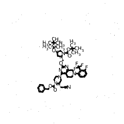 CC(C)(C)OC(=O)N1C[C@@H](O[Si](C)(C)C(C)(C)C)C[C@H]1COc1nc2c(c(N3CCN(C(=O)OCc4ccccc4)[C@@H](CC#N)C3)n1)CCN(c1cccc(F)c1C(F)(F)F)C2